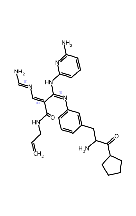 C=CCNC(=O)C(=C/N=C/N)/C(=N\c1cccc(CC(N)C(=O)C2CCCC2)c1)Nc1cccc(N)n1